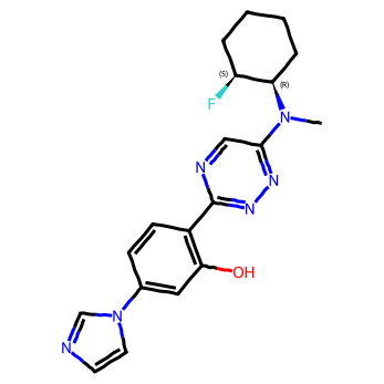 CN(c1cnc(-c2ccc(-n3ccnc3)cc2O)nn1)[C@@H]1CCCC[C@@H]1F